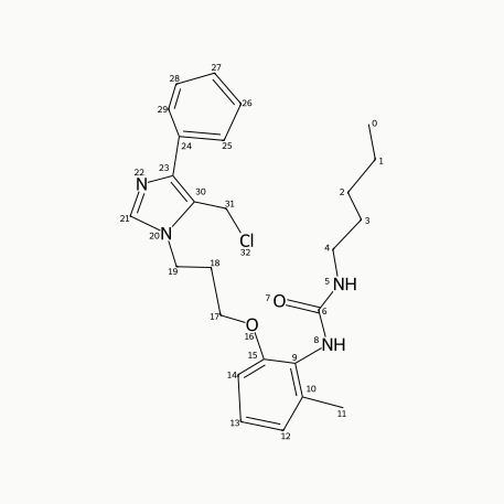 CCCCCNC(=O)Nc1c(C)cccc1OCCCn1cnc(-c2ccccc2)c1CCl